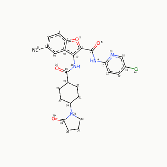 N#Cc1ccc2oc(C(=O)Nc3ccc(Cl)cn3)c(NC(=O)C3CCC(N4CCCC4=O)CC3)c2c1